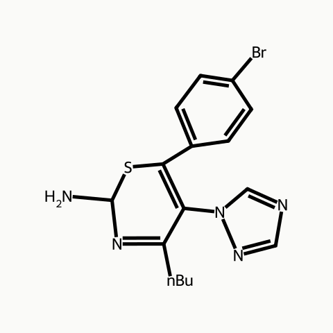 CCCCC1=NC(N)SC(c2ccc(Br)cc2)=C1n1cncn1